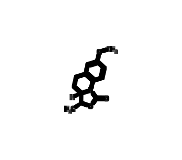 COc1ccc2c(c1)CC[C@H]1[C@H](C)OC(=O)N21